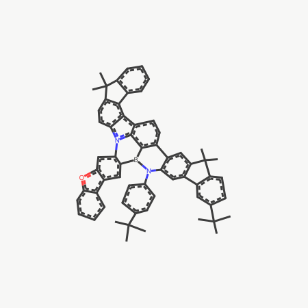 CC(C)(C)c1ccc(N2B3c4cc5c(cc4-n4c6ccc7c(c6c6ccc(c3c64)-c3cc4c(cc32)-c2cc(C(C)(C)C)ccc2C4(C)C)-c2ccccc2C7(C)C)oc2ccccc25)cc1